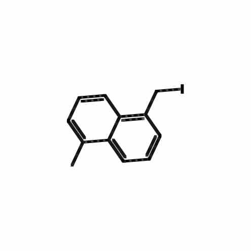 Cc1cccc2c(CI)cccc12